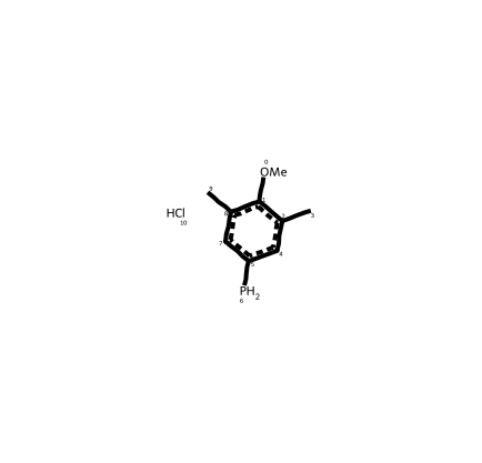 COc1c(C)cc(P)cc1C.Cl